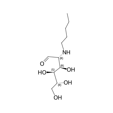 CCCCCN[C@@H](C=O)[C@@H](O)[C@H](O)[C@H](O)CO